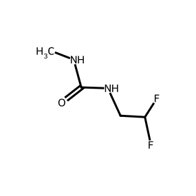 CNC(=O)NCC(F)F